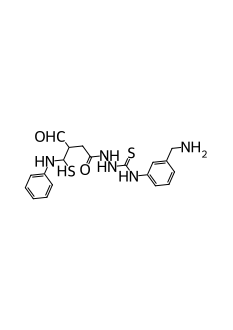 NCc1cccc(NC(=S)NNC(=O)CC(C=O)C(S)Nc2ccccc2)c1